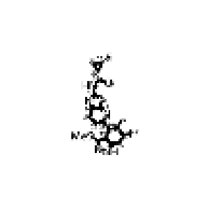 CSc1n[nH]c2cc(F)c(C)c(-c3ccc4nc(NC(=O)[C@@H]5C[C@@H]5F)sc4n3)c12